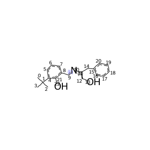 CC(C)(C)c1cccc(/C=N/[C@H](CO)Cc2ccccc2)c1O